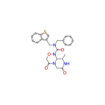 CC1NC(=O)CN2C(=O)CON(C(=O)N(Cc3ccccc3)Cc3csc4ccccc34)C12